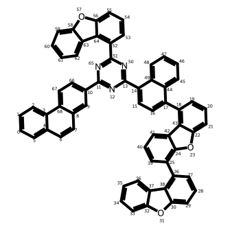 c1ccc2c(c1)ccc1cc(-c3nc(-c4ccc(-c5cccc6oc7c(-c8cccc9oc%10ccccc%10c89)cccc7c56)c5ccccc45)nc(-c4cccc5oc6ccccc6c45)n3)ccc12